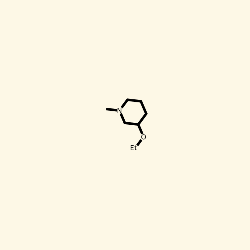 [CH2]N1CCCC(OCC)C1